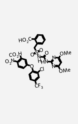 COc1cc(OC)nc(NC(=O)NS(=O)(=O)Cc2ccccc2C(=O)O)n1.O=C(O)c1cc(Oc2ccc(C(F)(F)F)cc2Cl)ccc1[N+](=O)[O-]